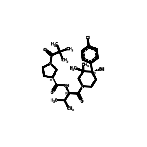 CC(C)[C@@H](NC(=O)[C@@H]1CCN(C(=O)C(C)(C)C)C1)C(=O)N1CC[C@](O)(c2ccc(Cl)cc2)C(C)(C)C1